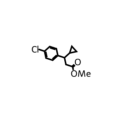 COC(=O)CC(c1ccc(Cl)cc1)C1CC1